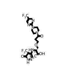 C[C@H](O)[C@@H](COCCC(=O)N1CCN(c2ncc(C(F)(F)F)cn2)CC1)Nc1cn[nH]c(=O)c1C(F)(F)F